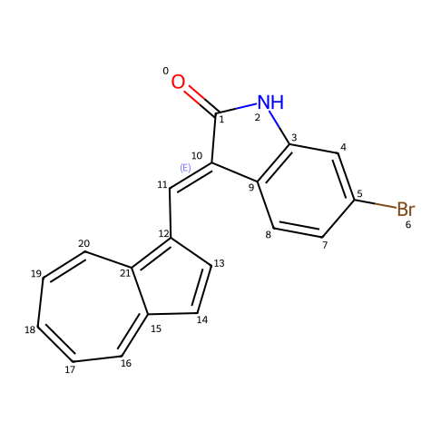 O=C1Nc2cc(Br)ccc2/C1=C\c1ccc2cccccc1-2